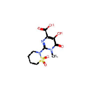 Cn1c(N2CCCCS2(=O)=O)nc(C(=O)O)c(O)c1=O